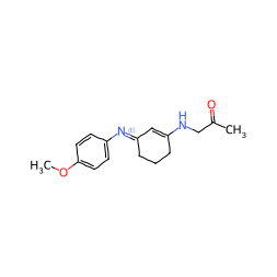 COc1ccc(/N=C2/C=C(NCC(C)=O)CCC2)cc1